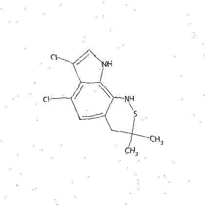 CC1(C)Cc2cc(Cl)c3c(Cl)c[nH]c3c2NS1